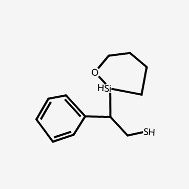 SCC(c1ccccc1)[SiH]1CCCCO1